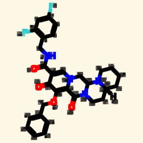 O=C(NCc1ccc(F)cc1F)c1cn2c(c(OCc3ccccc3)c1=O)C(=O)N1CC[C@H]3CCCCN3C1C2